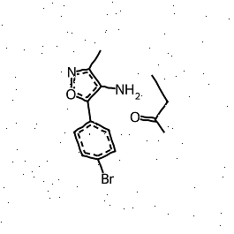 CCC(C)=O.Cc1noc(-c2ccc(Br)cc2)c1N